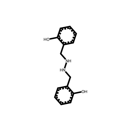 Oc1ccccc1CNNCc1ccccc1O